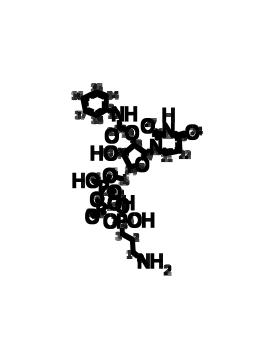 NCCCP(=O)(O)OP(=O)(O)OP(=O)(O)OC[C@H]1O[C@@H](n2ccc(=O)[nH]c2=O)C(OC(=O)Nc2ccccc2)[C@H]1O